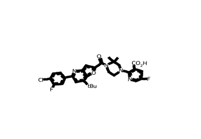 CC(C)(C)c1cc(-c2ccc(Cl)c(F)c2)nc2cc(C(=O)N3CCN(c4ncc(F)cc4C(=O)O)CC3(C)C)oc12